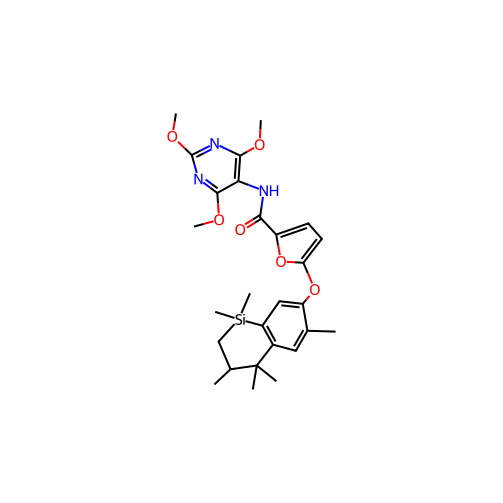 COc1nc(OC)c(NC(=O)c2ccc(Oc3cc4c(cc3C)C(C)(C)C(C)C[Si]4(C)C)o2)c(OC)n1